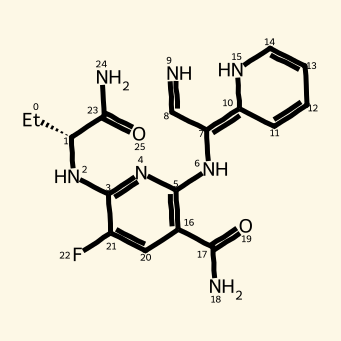 CC[C@@H](Nc1nc(N/C(C=N)=C2\C=CC=CN2)c(C(N)=O)cc1F)C(N)=O